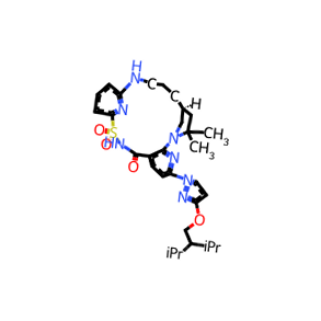 CC(C)C(COc1ccn(-c2ccc3c(n2)N2C[C@@H](CCCNc4cccc(n4)S(=O)(=O)NC3=O)CC2(C)C)n1)C(C)C